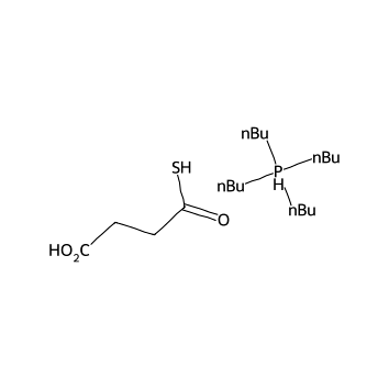 CCCC[PH](CCCC)(CCCC)CCCC.O=C(O)CCC(=O)S